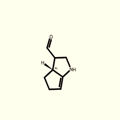 O=CC1CNC2=CCC[C@@H]21